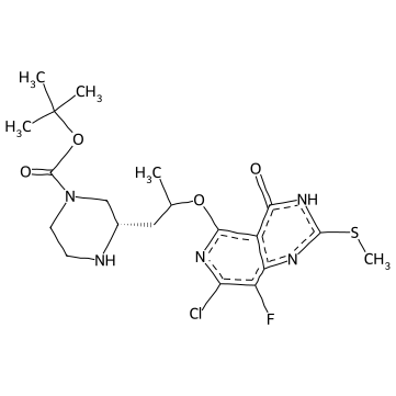 CSc1nc2c(F)c(Cl)nc(OC(C)C[C@H]3CN(C(=O)OC(C)(C)C)CCN3)c2c(=O)[nH]1